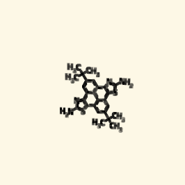 CC(C)(C)c1cc2c3nc(N)sc3c3cc(C(C)(C)C)cc4c5sc(N)nc5c(c1)c2c34